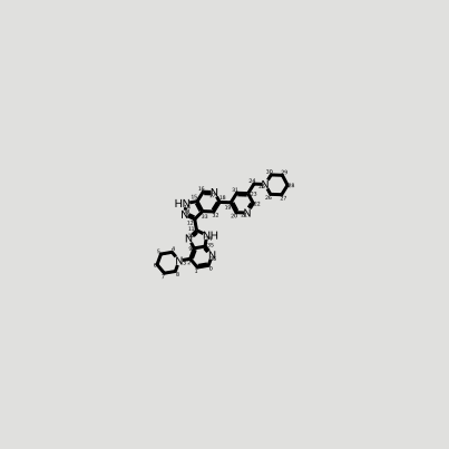 c1cc(N2CCCCC2)c2nc(-c3n[nH]c4cnc(-c5cncc(CN6CCCCC6)c5)cc34)[nH]c2n1